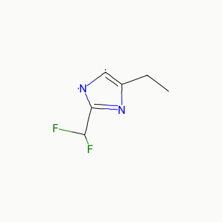 CCC1=[C][N]C(C(F)F)=N1